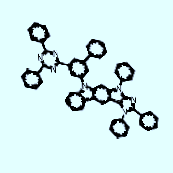 c1ccc(-c2cc(-c3nc(-c4ccccc4)nc(-c4ccccc4)n3)cc(-n3c4ccccc4c4cc5c6c(nc(-c7ccccc7)n6-c6ccccc6)n(-c6ccccc6)c5cc43)c2)cc1